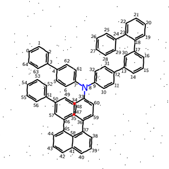 c1ccc(-c2ccc(N(c3ccc(-c4cccc(-c5ccccc5-c5ccccc5)c4)cc3)c3ccc(-c4cccc5cccc(-c6cccc(-c7ccccc7)c6)c45)cc3)cc2)cc1